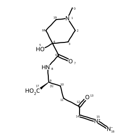 CN1CCC(O)(C(=O)N[C@@H](CCC(=O)C=[N+]=[N-])C(=O)O)CC1